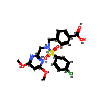 COc1cc(OC)nc(CN(Cc2ccc(C(=O)O)cc2)S(=O)(=O)c2ccc(Cl)cc2)n1